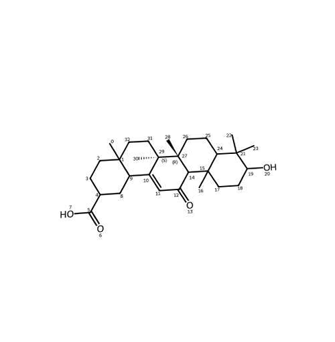 CC12CCC(C(=O)O)CC1C1=CC(=O)C3C4(C)CCC(O)C(C)(C)C4CC[C@@]3(C)[C@]1(C)CC2